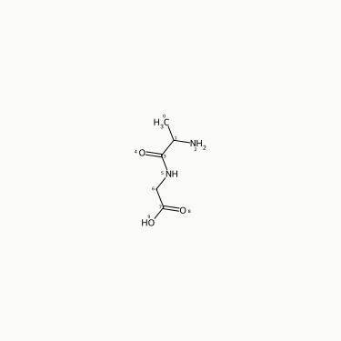 CC(N)C(=O)NCC(=O)O